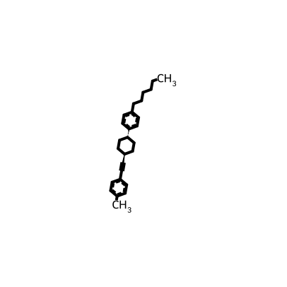 CCCCCCc1ccc([C@H]2CC[C@H](C#Cc3ccc(C)cc3)CC2)cc1